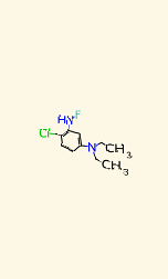 CCN(CC)c1ccc(Cl)c(NF)c1